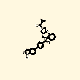 O=C(C1CC1)N1CC[C@H](Cn2c(-c3ccc(-c4ccc5[nH]ncc5c4)cc3)nc3cccc(Br)c32)C1